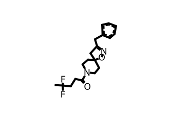 CC(F)(F)CCC(=O)N1CCC2(CC1)CC(Cc1ccccc1)=NO2